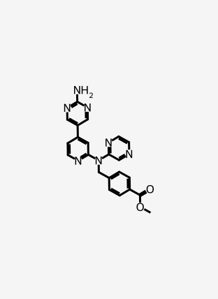 COC(=O)c1ccc(CN(c2cnccn2)c2cc(-c3cnc(N)nc3)ccn2)cc1